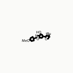 COc1ccc(-c2nc3c(O)cc(C4=C(C(C)(C)C)C(C)(C)CO4)cc3o2)cc1